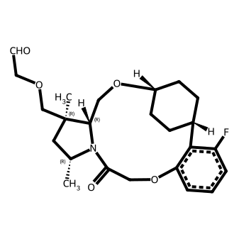 C[C@@H]1C[C@@](C)(COCC=O)[C@@H]2CO[C@H]3CC[C@H](CC3)c3c(F)cccc3OCC(=O)N12